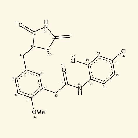 C=C1NC(=O)C(Cc2ccc(OC)c(CC(=O)Nc3ccc(Cl)cc3Cl)c2)S1